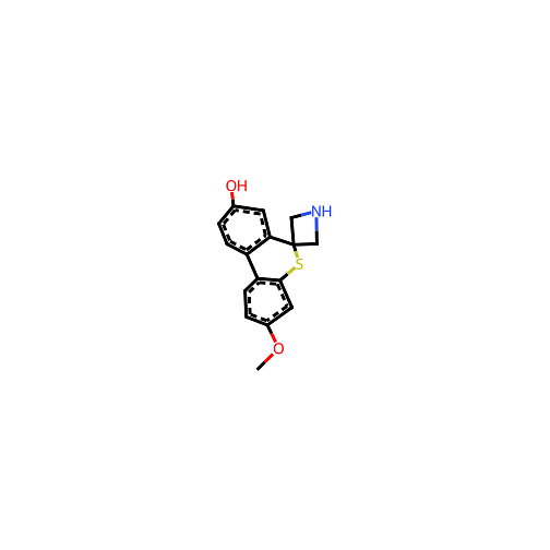 COc1ccc2c(c1)SC1(CNC1)c1cc(O)ccc1-2